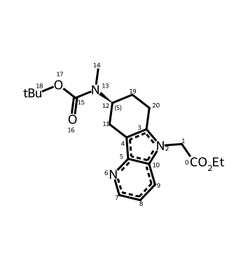 CCOC(=O)Cn1c2c(c3ncccc31)C[C@@H](N(C)C(=O)OC(C)(C)C)CC2